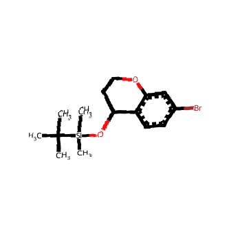 CC(C)(C)[Si](C)(C)OC1CCOc2cc(Br)ccc21